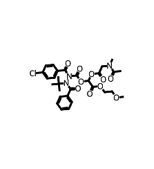 COCCOC(=O)C(OC(=O)CN(C)C(C)=O)OC(=O)N(C(=O)c1ccc(Cl)cc1)N(C(=O)c1ccccc1)C(C)(C)C